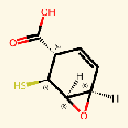 O=C(O)[C@@H]1C=C[C@H]2O[C@H]2[C@H]1S